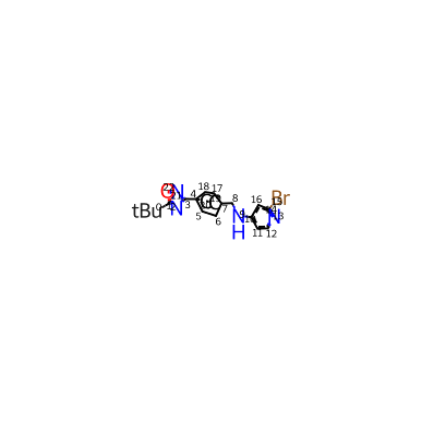 CC(C)(C)c1nc(C23CCC(CNc4ccnc(Br)c4)(CC2)CC3)no1